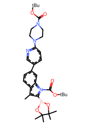 Cc1c(B2OC(C)(C)C(C)(C)O2)n(C(=O)OC(C)(C)C)c2cc(-c3ccc(N4CCN(C(=O)OC(C)(C)C)CC4)nc3)ccc12